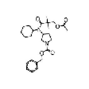 CC(=O)OCC(C)(C)C(=O)N(C1CCCCC1)[C@H]1CCN(C(=O)OCc2ccccc2)C1